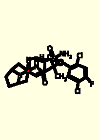 CC(C)(Oc1cc(Cl)c(F)cc1Cl)C(=O)NC1CC2CCC(C1)N2c1ccc(S(N)(=O)=O)cn1